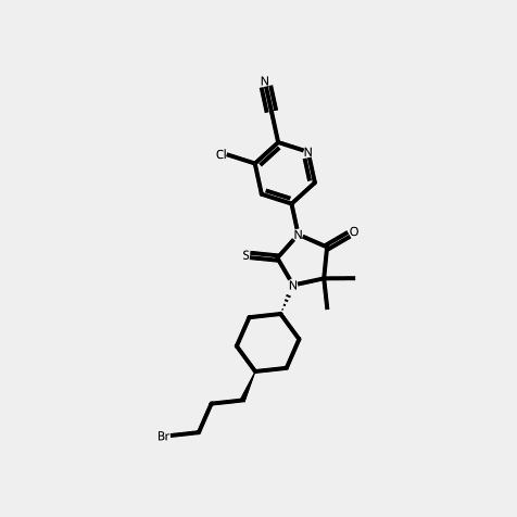 CC1(C)C(=O)N(c2cnc(C#N)c(Cl)c2)C(=S)N1[C@H]1CC[C@H](CCCBr)CC1